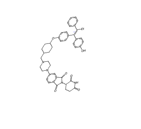 CC/C(=C(\c1ccc(O)cc1)c1ccc(OC2CCC(CN3CCN(c4ccc5c(c4)C(=O)N(C4CCC(=O)NC4=O)C5=O)CC3)CC2)cc1)c1ccccc1